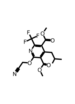 COC(=O)c1c(OCC#N)nc(C(F)(F)F)c(C(=O)OC)c1CC(C)C